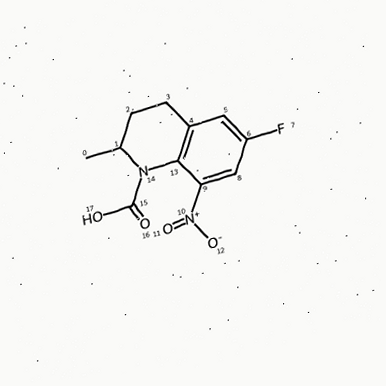 CC1CCc2cc(F)cc([N+](=O)[O-])c2N1C(=O)O